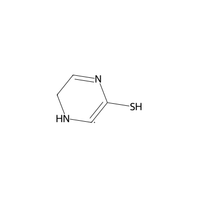 SC1=[C]NCC=N1